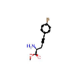 COC(=O)[C@@H](N)CC#Cc1ccc(Br)cc1